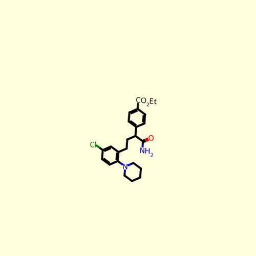 CCOC(=O)c1ccc(C(CCc2cc(Cl)ccc2N2CCCCC2)C(N)=O)cc1